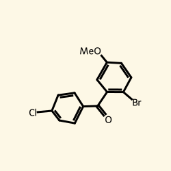 COc1ccc(Br)c(C(=O)c2ccc(Cl)cc2)c1